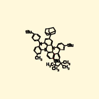 Cc1ccc2c(c1)B1c3ccc(C(C)(C)C)cc3N(c3ccc(C(C)(C)C)cc3-c3ccc4c(c3)C(C)(C)CC4(C)C)c3cc(C45CC6CC(CC(C6)C4)C5)cc(c31)N2c1ccc(C(C)(C)C)cc1